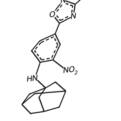 Cc1noc(-c2ccc(NC34CC5CC(CC(C5)C3)C4)c([N+](=O)[O-])c2)n1